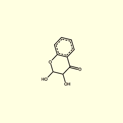 O=C1c2ccccc2OC(O)C1O